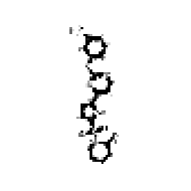 CCC1CCCCN1S(=O)(=O)c1ccc(-c2ccnc(Sc3cccc(C)c3)n2)s1